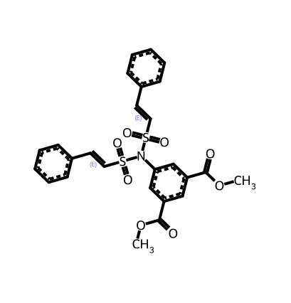 COC(=O)c1cc(C(=O)OC)cc(N(S(=O)(=O)/C=C/c2ccccc2)S(=O)(=O)/C=C/c2ccccc2)c1